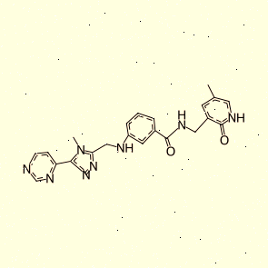 Cc1c[nH]c(=O)c(CNC(=O)c2cccc(NCc3nnc(-c4ccncn4)n3C)c2)c1